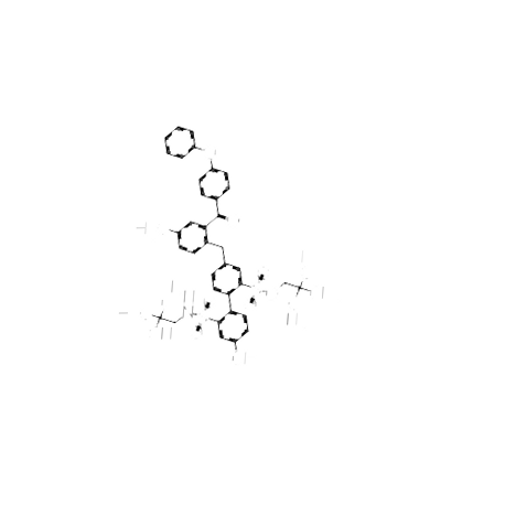 Cc1ccc(Cc2ccc(-c3ccc(C)cc3S(=O)(=O)NCC(C)(C)C)c(S(=O)(=O)OCC(C)(C)C)c2)c(C(=O)c2ccc(Oc3ccccc3)cc2)c1